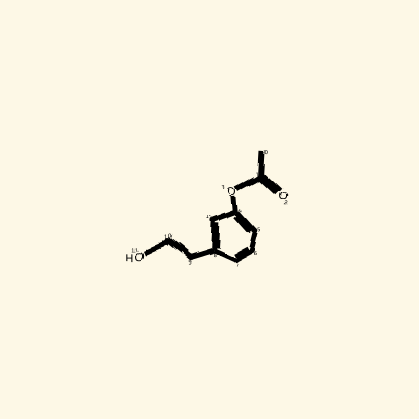 CC(=O)Oc1cccc(CCO)c1